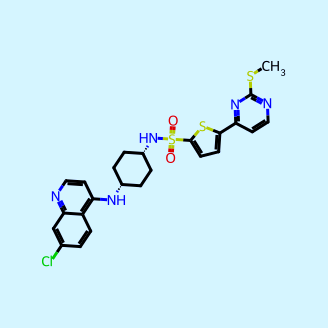 CSc1nccc(-c2ccc(S(=O)(=O)N[C@H]3CC[C@@H](Nc4ccnc5cc(Cl)ccc45)CC3)s2)n1